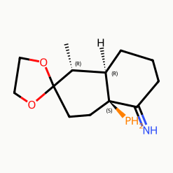 C[C@@H]1[C@H]2CCCC(=N)[C@]2(P)CCC12OCCO2